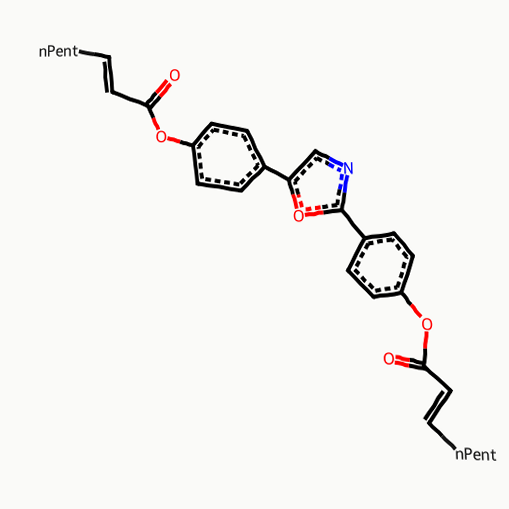 CCCCC/C=C/C(=O)Oc1ccc(-c2cnc(-c3ccc(OC(=O)/C=C/CCCCC)cc3)o2)cc1